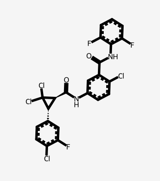 O=C(Nc1c(F)cccc1F)c1cc(NC(=O)[C@H]2[C@H](c3ccc(Cl)c(F)c3)C2(Cl)Cl)ccc1Cl